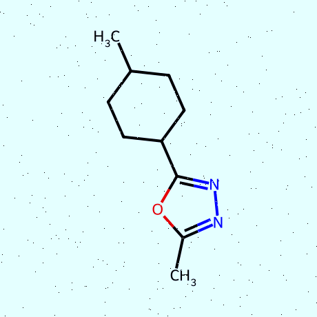 Cc1nnc(C2CCC(C)CC2)o1